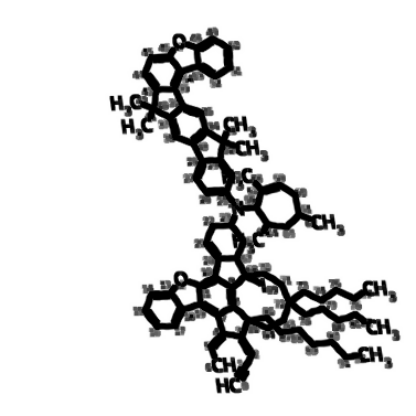 C#C/C=C1\C(=C/C)c2c3c4c(c5oc6ccccc6c25)C2=CCC(N(c5ccc6c(c5)C(C)(C)c5cc7c(cc5-6)C(C)(C)c5ccc6oc8ccccc8c6c5-7)C5C(C)=CCC(C)CC5C)CC2C4(I)CCC(CCCCC)(CCCCC)CCC13CCCCCCC